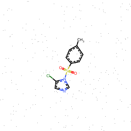 Cc1ccc(S(=O)(=O)n2cncc2Cl)cc1